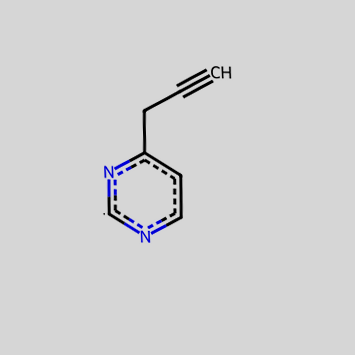 C#CCc1ccn[c]n1